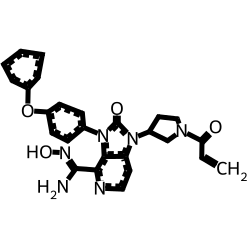 C=CC(=O)N1CCC(n2c(=O)n(-c3ccc(Oc4ccccc4)cc3)c3c(C(N)=NO)nccc32)C1